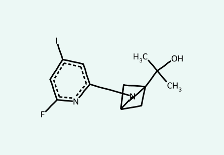 CC(C)(O)C12CC(C1)N(c1cc(I)cc(F)n1)C2